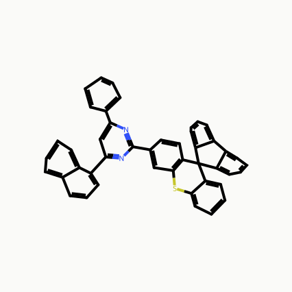 c1ccc(-c2cc(-c3cccc4ccccc34)nc(-c3ccc4c(c3)Sc3ccccc3C43c4ccccc4-c4ccccc43)n2)cc1